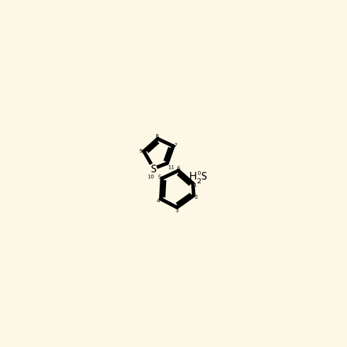 S.c1ccccc1.c1ccsc1